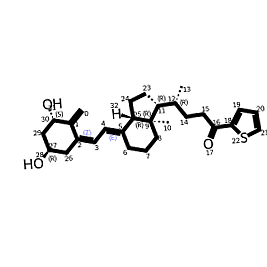 C=C1/C(=C\C=C2/CCC[C@]3(C)[C@@H]([C@H](C)CCC(=O)c4cccs4)CC[C@@H]23)C[C@@H](O)C[C@@H]1O